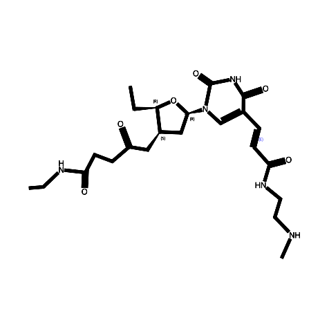 CCNC(=O)CCC(=O)C[C@@H]1C[C@H](n2cc(/C=C/C(=O)NCCNC)c(=O)[nH]c2=O)O[C@@H]1CC